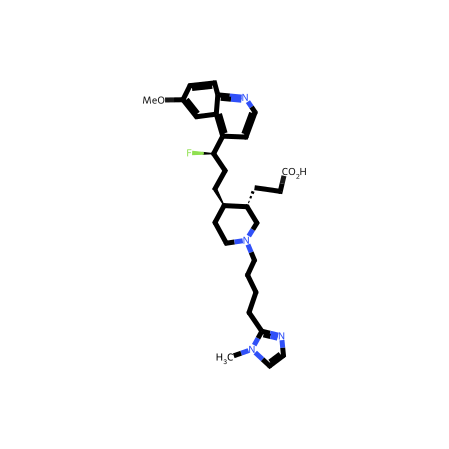 COc1ccc2nccc([C@H](F)CC[C@@H]3CCN(CCCCc4nccn4C)C[C@H]3CCC(=O)O)c2c1